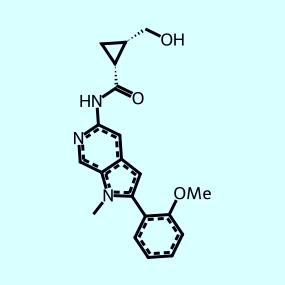 COc1ccccc1-c1cc2cc(NC(=O)[C@@H]3C[C@@H]3CO)ncc2n1C